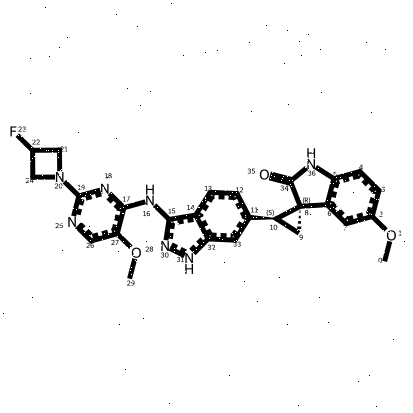 COc1ccc2c(c1)[C@]1(C[C@H]1c1ccc3c(Nc4nc(N5CC(F)C5)ncc4OC)n[nH]c3c1)C(=O)N2